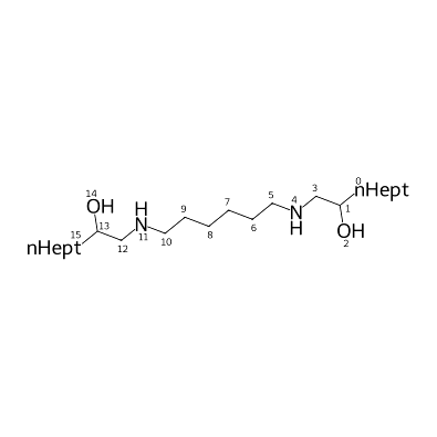 CCCCCCCC(O)CNCCCCCCNCC(O)CCCCCCC